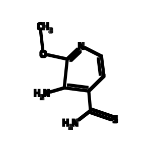 COc1nccc(C(N)=S)c1N